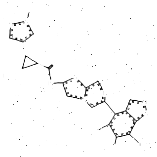 CC(C)c1c(F)c(Cl)c(-c2cn3cc(NC(=O)[C@H]4[C@H](C)[C@@H]4c4cnn(C)c4)nc3cn2)c2cn[nH]c12